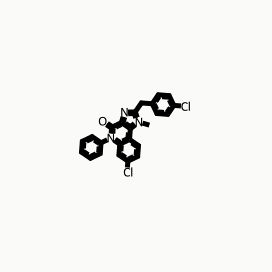 Cn1c(Cc2ccc(Cl)cc2)nc2c(=O)n(-c3ccccc3)c3cc(Cl)ccc3c21